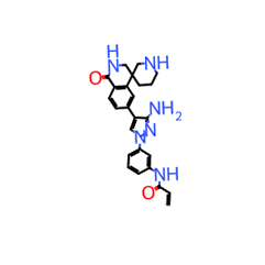 C=CC(=O)Nc1cccc(-n2cc(-c3ccc4c(c3)C3(CCCNC3)CNC4=O)c(N)n2)c1